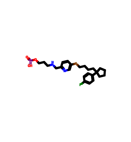 O=[PH](O)OCCCNCc1ccc(SCCCCC2(c3ccc(F)cc3)CCCC2)cn1